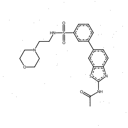 CC(=O)Nc1nc2ccc(-c3cccc(S(=O)(=O)NCCN4CCOCC4)c3)cc2s1